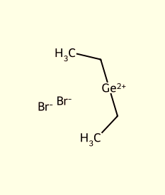 C[CH2][Ge+2][CH2]C.[Br-].[Br-]